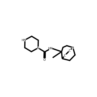 CC1(NC(=O)N2CCNCC2)CCN2CCC1CC2